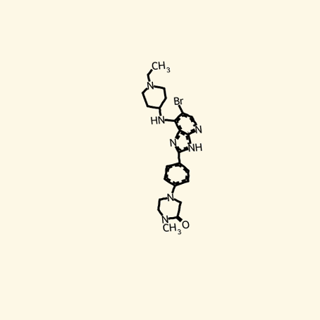 CCN1CCC(Nc2c(Br)cnc3[nH]c(-c4ccc(N5CCN(C)C(=O)C5)cc4)nc23)CC1